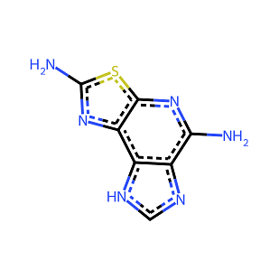 Nc1nc2c(nc(N)c3nc[nH]c32)s1